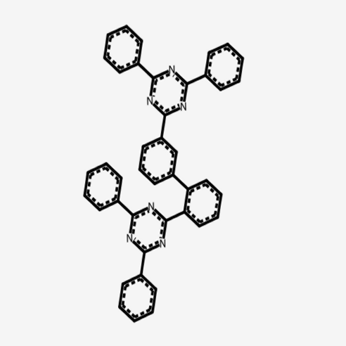 c1ccc(-c2nc(-c3ccccc3)nc(-c3cccc(-c4ccccc4-c4nc(-c5ccccc5)nc(-c5ccccc5)n4)c3)n2)cc1